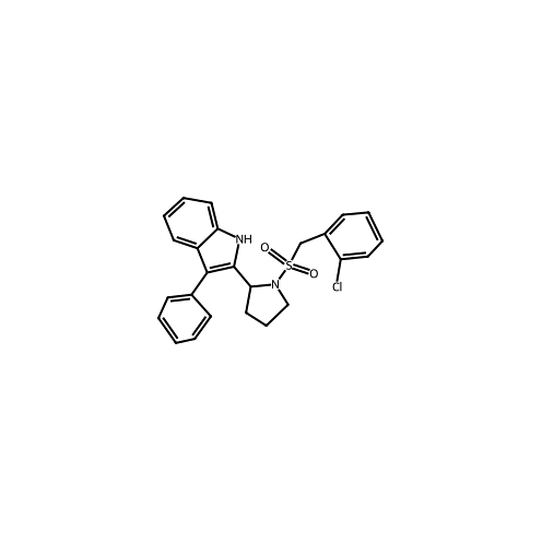 O=S(=O)(Cc1ccccc1Cl)N1CCCC1c1[nH]c2ccccc2c1-c1ccccc1